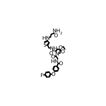 NC(=O)CCNc1csc(CNC(=O)[C@@H]2CC3(CN2C(=O)CNC(=O)c2ccc(Oc4ccc(F)cc4)cc2)OCCO3)c1